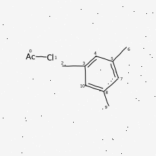 CC(=O)Cl.Cc1cc(C)cc(C)c1